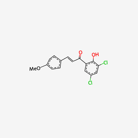 COc1ccc(C=CC(=O)c2cc(Cl)cc(Cl)c2O)cc1